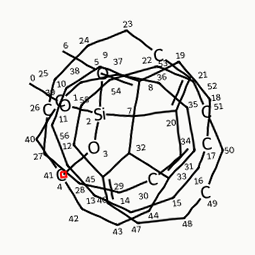 CO[Si](OC)(OC)C(/C1=C\CCCCCCCCCC1)(/C1=C\CCCCCCCCCC1)C(/C1=C\CCCCCCCCCC1)/C1=C\CCCCCCCCCC1